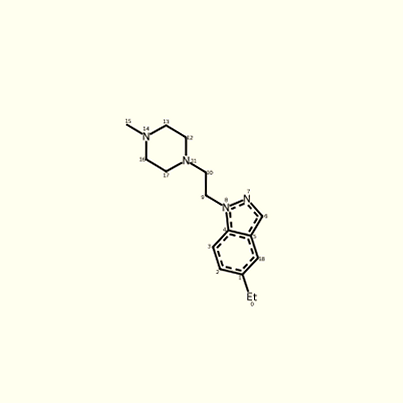 CCc1ccc2c(cnn2CCN2CCN(C)CC2)c1